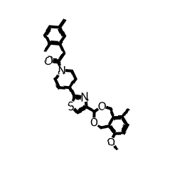 COc1ccc(C)c2c1COC(c1csc(C3CCN(C(=O)Cc4cc(C)ccc4C)CC3)n1)OC2